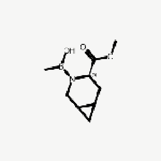 COC(=O)[C@H]1CC2CC2CN1B(C)O